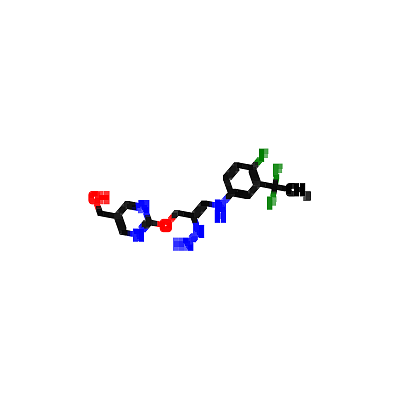 CC(F)(F)c1cc(N/C=C(/COc2ncc(CO)cn2)N=N)ccc1F